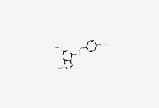 CCN(CC)c1nc(NCc2ccc(OC)cc2)c2cnn(C)c2n1